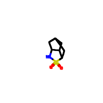 O=S1(=O)NC2CC3CC2C1C3